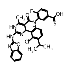 CC1=C(C(=O)Nc2cc(C(O)=S)ccc2F)C(c2cccc(C(C)C)c2Cl)N=C(Nc2nc3ccccc3o2)N1